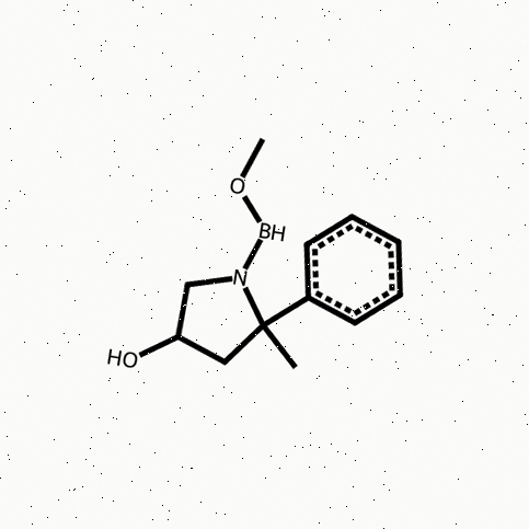 COBN1CC(O)CC1(C)c1ccccc1